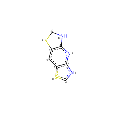 c1nc2nc3c(cc2s1)SCN3